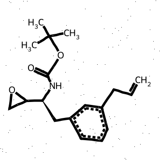 C=CCc1cccc(C[C@H](NC(=O)OC(C)(C)C)C2CO2)c1